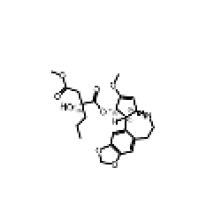 CCC[C@@](O)(CC(=O)OC)C(=O)O[C@@H]1C(OC)=C[C@]23CCCN2CCc2cc4c(cc2[C@H]13)OCO4